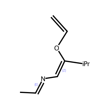 C=CO/C(=C\N=C\C)C(C)C